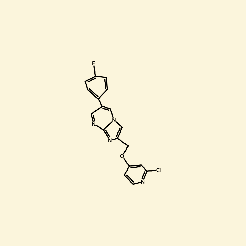 Fc1ccc(-c2cnc3nc(COc4ccnc(Cl)c4)cn3c2)cc1